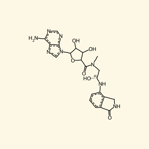 CN(C[C@@H](O)Nc1cccc2c1CNC2=O)C(=O)C1OC(n2cnc3c(N)ncnc32)C(O)C1O